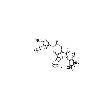 Cc1n[nH]c(Cl)c1NC(=O)c1cc(F)c(-c2ccc(C#N)c(N)n2)cc1OCC(F)(F)F